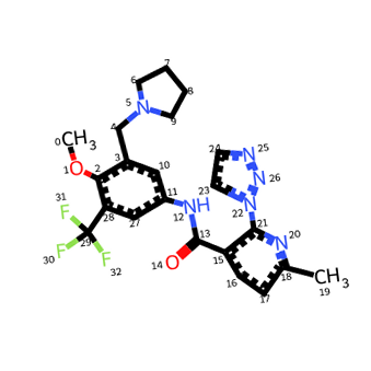 COc1c(CN2CCCC2)cc(NC(=O)c2ccc(C)nc2-n2ccnn2)cc1C(F)(F)F